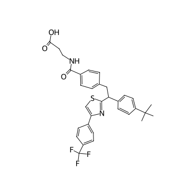 CC(C)(C)c1ccc(C(Cc2ccc(C(=O)NCCC(=O)O)cc2)c2nc(-c3ccc(C(F)(F)F)cc3)cs2)cc1